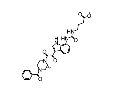 COC(=O)CCCNC(=O)Nc1cccc2c(C(=O)C(=O)N3CCN(C(=O)c4ccccc4)C[C@H]3C)c[nH]c12